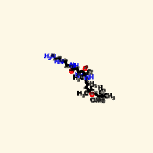 CCC(C)(NCCCC(C)(C)OCCC(C)(C)OC)C(=O)C(N)CC(=O)NCCNCCN